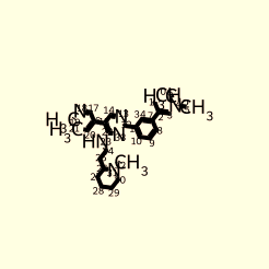 C=C/C(=C\N(C)C)c1cccc(-c2ncc(C(/C=N\C)=C/C)c(NCCC3CCCCN3C)n2)c1